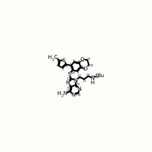 Cc1ccc(-c2cc3c(cc2Sc2nc4c(N)ncnc4n2CCCNC(C)(C)C)OCCO3)s1